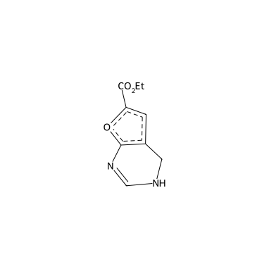 CCOC(=O)c1cc2c(o1)N=CNC2